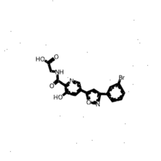 O=C(O)CNC(=O)c1ncc(-c2cc(-c3cccc(Br)c3)no2)cc1O